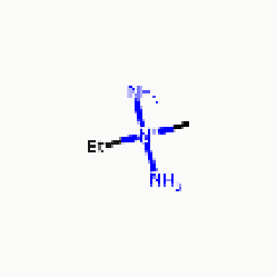 CC[N+](C)(N)N